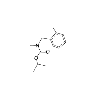 Cc1ccccc1CN(C)C(=O)OC(C)C